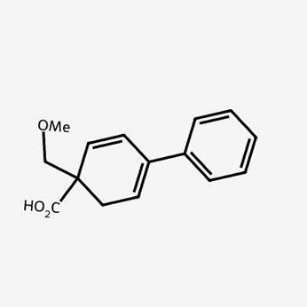 COCC1(C(=O)O)C=CC(c2ccccc2)=CC1